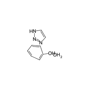 O.Oc1ccccc1.c1c[nH]nn1